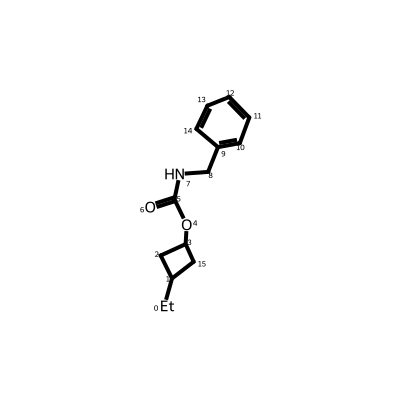 CCC1CC(OC(=O)NCc2ccccc2)C1